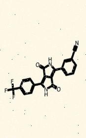 N#Cc1cccc(C2=C3C(=O)NC(c4ccc(C(F)(F)F)cc4)=C3C(=O)N2)c1